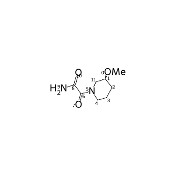 CO[C@H]1CCCN(C(=O)C(N)=O)C1